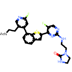 CNCCc1cnc(F)cc1-c1cccc2cc(-c3nc(NCCN4CCNC4=O)ncc3F)sc12